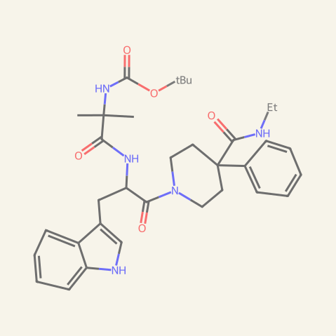 CCNC(=O)C1(c2ccccc2)CCN(C(=O)C(Cc2c[nH]c3ccccc23)NC(=O)C(C)(C)NC(=O)OC(C)(C)C)CC1